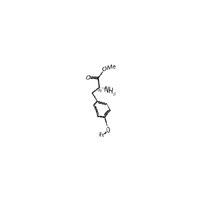 CCOc1ccc(C[C@@H](N)C(=O)OC)cc1